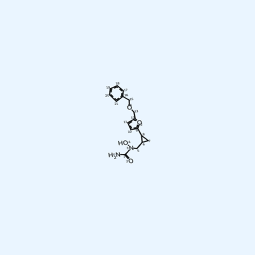 NC(=O)N(O)CC1CC1c1ccc(COCc2ccccc2)o1